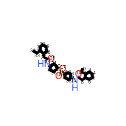 C=Cc1ccccc1CC(=O)Nc1ccc(S(=O)(=O)c2ccc(NC(=O)Cc3ccccc3C=C)cc2)cc1